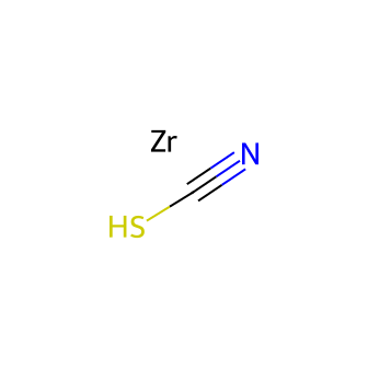 N#CS.[Zr]